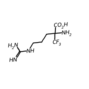 N=C(N)NCCCC(N)(C(=O)O)C(F)(F)F